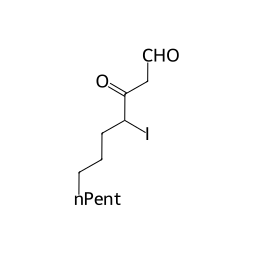 CCCCCCCCC(I)C(=O)CC=O